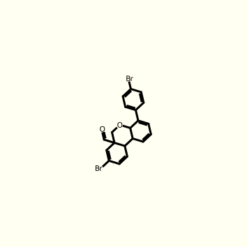 O=CC12C=C(Br)C=CC1C1C=CC=C(c3ccc(Br)cc3)C1OC2